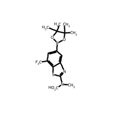 CN(C(=O)O)c1nc2cc(B3OC(C)(C)C(C)(C)O3)cc(C(F)(F)F)c2s1